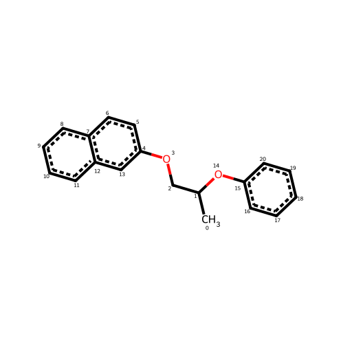 CC(COc1ccc2ccccc2c1)Oc1ccccc1